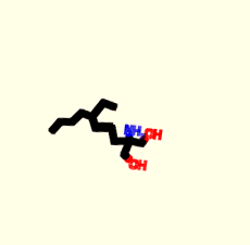 CCCCC(C=CCC(N)(CO)CO)CC